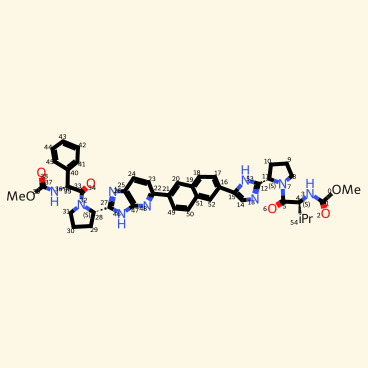 COC(=O)N[C@H](C(=O)N1CCC[C@H]1c1ncc(-c2ccc3cc(-c4ccc5nc([C@@H]6CCCN6C(=O)[C@H](NC(=O)OC)c6ccccc6)[nH]c5n4)ccc3c2)[nH]1)C(C)C